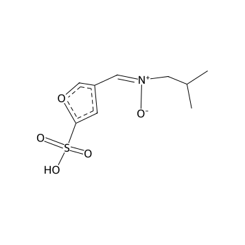 CC(C)C[N+]([O-])=Cc1coc(S(=O)(=O)O)c1